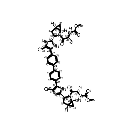 COC(=O)N[C@@H](C)C(=O)N1[C@@H]2C[C@@H]2C[C@H]1c1nc(Cl)c(-c2ccc(-c3ccc(C4=C(Cl)NC([C@@H]5C[C@H]6C[C@H]6N5C(=O)[C@H](C)NC(=O)OC)N4)cc3)cc2)[nH]1